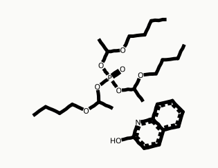 CCCCOC(C)OP(=O)(OC(C)OCCCC)OC(C)OCCCC.Oc1ccc2ccccc2n1